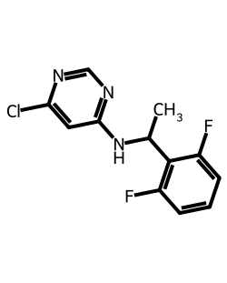 CC(Nc1cc(Cl)ncn1)c1c(F)cccc1F